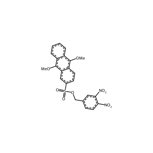 COc1c2ccccc2c(OC)c2cc(S(=O)(=O)OCc3ccc([N+](=O)[O-])c([N+](=O)[O-])c3)ccc12